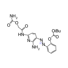 CC(C)COC(=O)Oc1ccccc1/N=N/c1ccc(NC(=O)COC(N)=O)nc1N